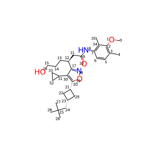 COc1c(C)ccc(NC(=O)C[C@H](CCCO)c2noc([C@H]3C[C@@H](CC(C)(C)C)C3)c2C2CC2)c1C